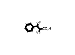 [2H]C(C(=O)O)C([2H])c1ccccc1